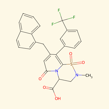 CN1CC(C(=O)O)n2c(c(-c3cccc(C(F)(F)F)c3)c(Cc3cccc4ccccc34)cc2=O)S1(=O)=O